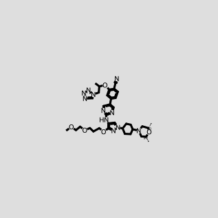 COCCOCCCOc1nn(C2CCC(N3C[C@@H](C)O[C@@H](C)C3)CC2)cc1Nc1ncc(-c2ccc(C#N)c(OC(C)Cn3cnnn3)c2)cn1